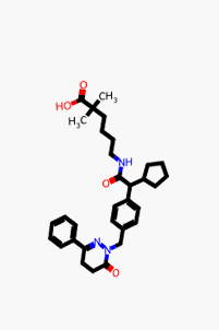 CC(C)(CCCCNC(=O)C(c1ccc(CN2N=C(c3ccccc3)CCC2=O)cc1)C1CCCC1)C(=O)O